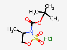 C[C@@H]1COS(=O)(=O)N1C(=O)OC(C)(C)C.Cl